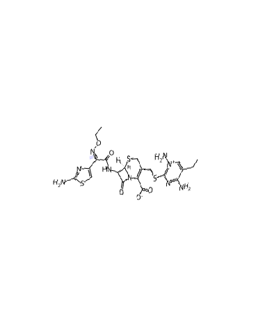 CCO/N=C(\C(=O)NC1C(=O)N2C(C(=O)[O-])=C(CSc3nc(N)c(CC)c[n+]3N)CS[C@H]12)c1csc(N)n1